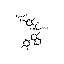 CC[C@@H](Nc1cc(F)c(C(=O)N[C@@H](Cc2ccc(-c3ncc(C)c(C)n3)c3ncccc23)C(=O)O)c(F)c1)C(F)(F)F